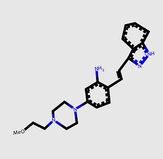 COCCN1CCN(c2ccc(C=Cc3n[nH]c4ccccc34)c(N)c2)CC1